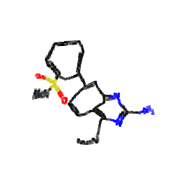 CNc1nc(N)nc2cc(-c3ccccc3S(=O)(=O)NC)ccc12